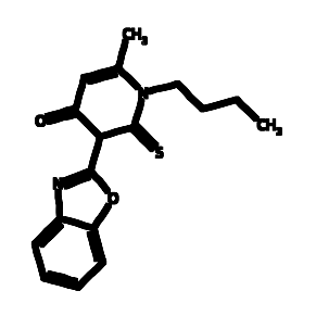 CCCCN1C(=S)C(c2nc3ccccc3o2)C(=O)C=C1C